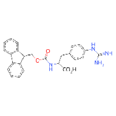 N=C(N)Nc1ccc(CC(NC(=O)OCC2c3ccccc3-c3ccccc32)C(=O)O)cc1